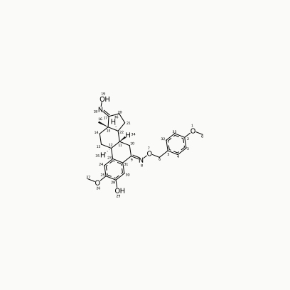 COc1ccc(CON=C2C[C@@H]3[C@H](CC[C@]4(C)C(=NO)CC[C@@H]34)c3cc(OC)c(O)cc32)cc1